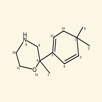 CC1(C)C=CC(C2(C)CNCCO2)=CC1